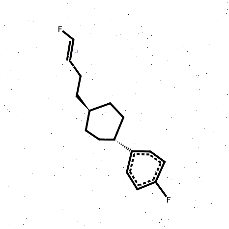 F/C=C/CC[C@H]1CC[C@H](c2ccc(F)cc2)CC1